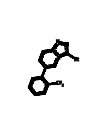 CCc1nnc2ccc(-c3ccccc3C(F)(F)F)cn12